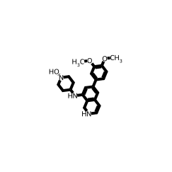 COc1ccc(-c2cc3c(c(NC4CCN(O)CC4)c2)CNC=C3)cc1OC